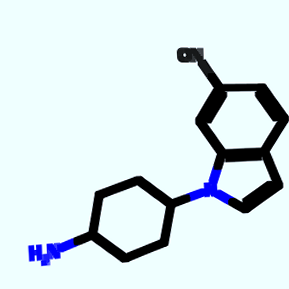 NC1CCC(n2ccc3ccc(N=O)cc32)CC1